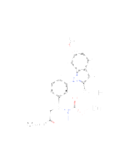 COC(=O)C[C@H](NC(=O)OC(C)(C)C)c1cccc(-n2c(C(=O)O)cc3ccc(OC(F)(F)F)cc32)c1